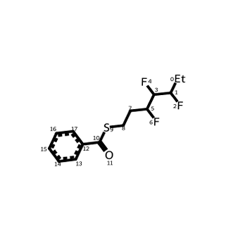 CCC(F)C(F)C(F)CCSC(=O)c1ccccc1